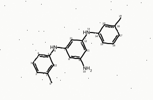 Cc1cccc(Nc2cc(N)cc(Nc3cccc(C)c3)c2)c1